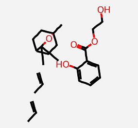 C=CC.C=CC.CC12CCC(CC1)C(C)(C)O2.O=C(OCCO)c1ccccc1O